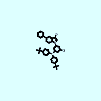 CC(C)(C)c1ccc(N(c2ccc(C(C)(C)C)cc2)c2cc(Cl)cc(-n3cc(Br)c4cc(-c5ccccc5)ccc43)c2)cc1